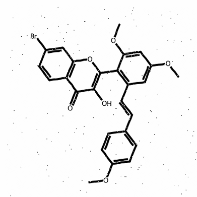 COc1ccc(C=Cc2cc(OC)cc(OC)c2-c2oc3cc(Br)ccc3c(=O)c2O)cc1